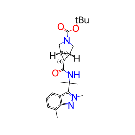 Cc1cccc2c(C(C)(C)NC(=O)[C@H]3[C@@H]4CN(C(=O)OC(C)(C)C)C[C@@H]43)n(C)nc12